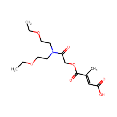 CCOCCN(CCOCC)C(=O)COC(=O)/C(C)=C/C(=O)O